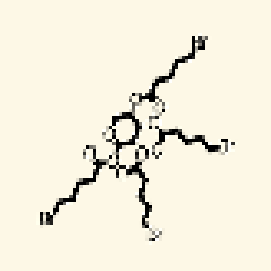 O=C(CCCCBr)OC1OC[C@@H](OC(=O)CCCCBr)[C@H](OC(=O)CCCCBr)[C@H]1OC(=O)CCCCBr